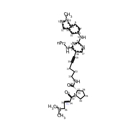 CCCNc1nc(Nc2ccc3c(cnn3C)c2)ncc1C#CCCCNC(=O)[C@@H]1CCCN1C(=O)/C=C/CN(C)C